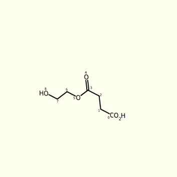 O=C(O)CCC(=O)OCCO